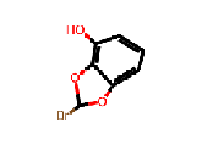 Oc1cccc2c1OC(Br)O2